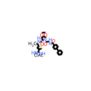 CC(=O)ONC(=N)c1csc([C@@H](C)NC(=O)[C@@H]2CC3(CN2C(=O)CNC(=O)c2ccc(-c4ccccc4)cc2)OCCO3)c1